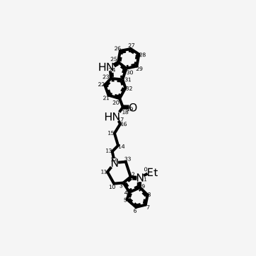 CCn1c2c(c3ccccc31)CCN(CCCCNC(=O)c1ccc3[nH]c4ccccc4c3c1)C2